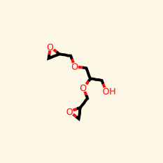 OCC(COCC1CO1)OCC1CO1